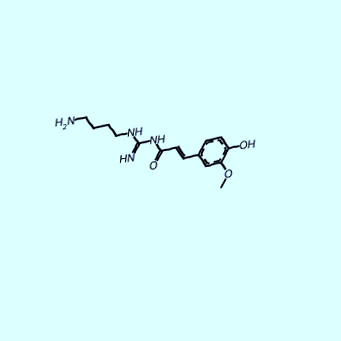 COc1cc(/C=C/C(=O)NC(=N)NCCCCN)ccc1O